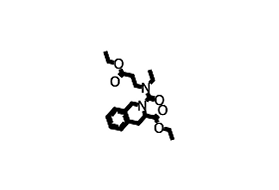 CCOC(=O)CCN(CC)C(=O)N1Cc2ccccc2CC1C(=O)OCC